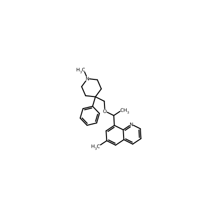 Cc1cc(C(C)OCC2(c3ccccc3)CCN(C)CC2)c2ncccc2c1